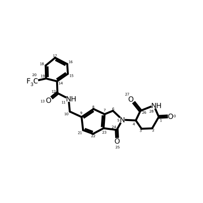 O=C1CCC(N2Cc3cc(CNC(=O)c4ccccc4C(F)(F)F)ccc3C2=O)C(=O)N1